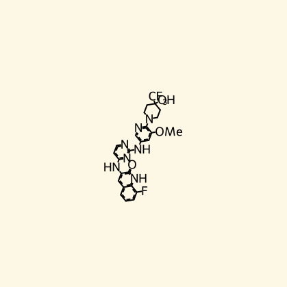 COc1cc(Nc2nccc(Nc3cc4cccc(F)c4[nH]c3=O)n2)cnc1N1CCC(O)(C(F)(F)F)CC1